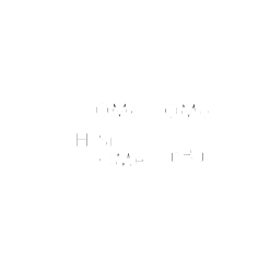 CCCCC(OC)C([SiH3])(OC)OC